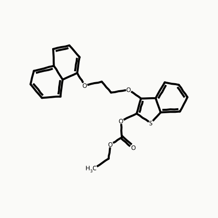 CCOC(=O)Oc1sc2ccccc2c1OCCOc1cccc2ccccc12